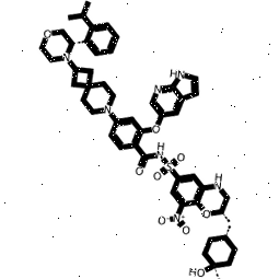 CC(C)c1ccccc1[C@H]1COCCN1C1CC2(CCN(c3ccc(C(=O)NS(=O)(=O)c4cc5c(c([N+](=O)[O-])c4)O[C@@H](C[C@H]4CC[C@](C)(O)CC4)CN5)c(Oc4cnc5[nH]ccc5c4)c3)CC2)C1